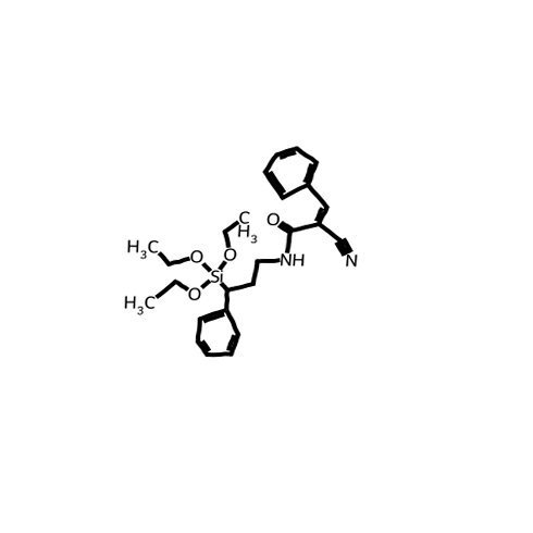 CCO[Si](OCC)(OCC)C(CCNC(=O)C(C#N)=Cc1ccccc1)c1ccccc1